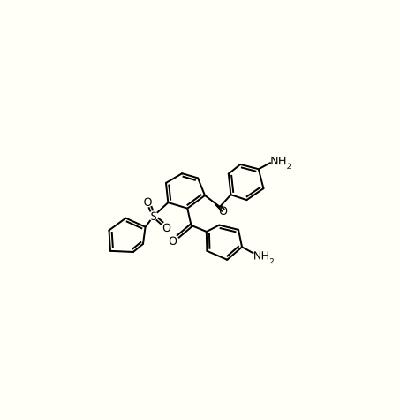 Nc1ccc(C(=O)c2cccc(S(=O)(=O)c3ccccc3)c2C(=O)c2ccc(N)cc2)cc1